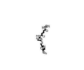 CC(C)(C)c1cnc(CSC2CN=C(NC(=O)CCCC(=O)NO)S2)o1